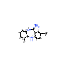 CC(C)c1ccc2c(c1)C(N)=NC1=CC=CC(C)C1N2